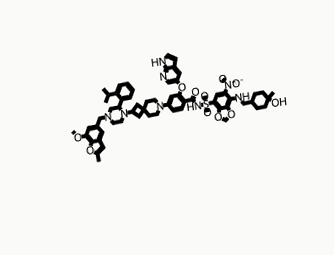 COc1cc(CN2CCN(C3CC4(CCN(c5ccc(C(=O)NS(=O)(=O)c6cc([N+](=O)[O-])c(NCC7CCC(C)(O)CC7)c7c6OCO7)c(Oc6cnc7[nH]ccc7c6)c5)CC4)C3)C(c3ccccc3C(C)C)C2)cc2cc(C)oc12